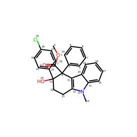 COC(=O)C1(c2ccccc2)c2c(n(C)c3ccccc23)CCC1(O)c1ccc(Cl)cc1